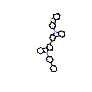 C1=CC(c2ccc(-n3c4c(c5cc(-c6ccc7c(c6)c6ccccc6n7-c6ccc7sc8ccccc8c7c6)ccc53)CCCC4)cc2)=CCC1